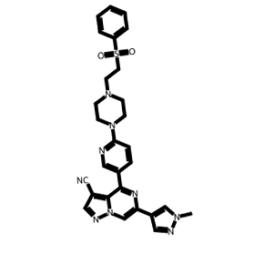 Cn1cc(-c2cn3ncc(C#N)c3c(-c3ccc(N4CCN(CCS(=O)(=O)c5ccccc5)CC4)nc3)n2)cn1